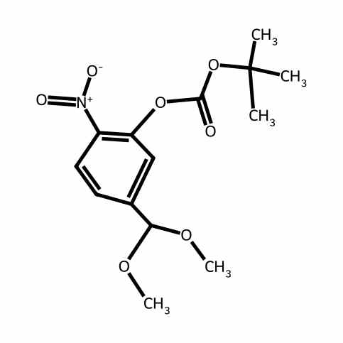 COC(OC)c1ccc([N+](=O)[O-])c(OC(=O)OC(C)(C)C)c1